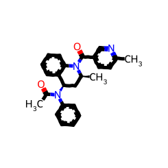 CC(=O)N(c1ccccc1)[C@@H]1C[C@H](C)N(C(=O)c2ccc(C)nc2)c2ccccc21